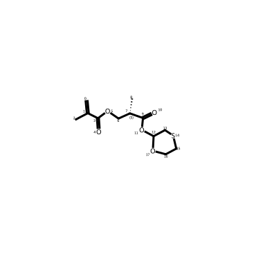 C=C(C)C(=O)OC[C@H](C)C(=O)OC1CSCCO1